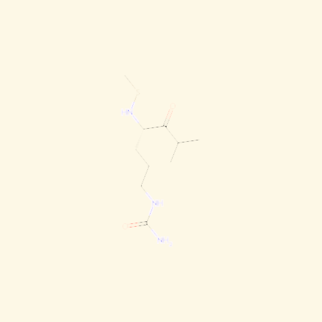 CSN[C@@H](CCCNC(N)=O)C(=O)C(C)C